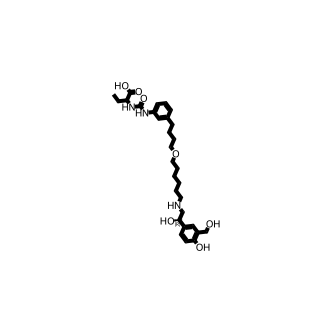 CCC(NC(=O)Nc1cccc(CCCCOCCCCCCNC[C@H](O)c2ccc(O)c(CO)c2)c1)C(=O)O